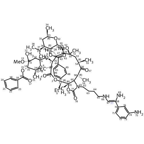 CC[C@H]1OC(=O)[C@H](C)[C@@H](OC2C[C@@](C)(OC)[C@@H](OC(=O)c3ccccc3)[C@H](C)O2)[C@H](C)[C@@H](OC2O[C@H](C)C[C@H](N(C)C)[C@H]2OC(=O)c2ccccc2)[C@@](C)(OC)C[C@@H](C)C(=O)[C@H](C)C2N(CCCCN/C=C(\N)c3cccc(N)c3)C(=O)O[C@@]21C